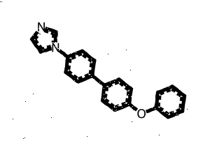 c1ccc(Oc2ccc(-c3ccc(-n4ccnc4)cc3)cc2)cc1